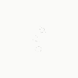 Cc1noc(CNS(=O)(=O)Cc2ccccc2)n1